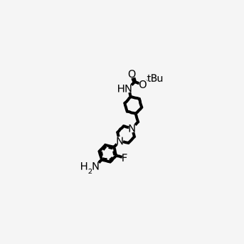 CC(C)(C)OC(=O)NC1CCC(CN2CCN(c3ccc(N)cc3F)CC2)CC1